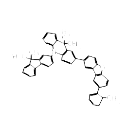 CC1CC=CC=C1c1ccc2oc3ccc(-c4ccc5c(c4)C(C)(C)c4ccccc4N5c4ccc5c(c4)C(C)(C)c4ccccc4-5)cc3c2c1